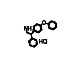 Cl.NCC(c1ccccc1)c1ccc(Oc2ccccc2)cc1